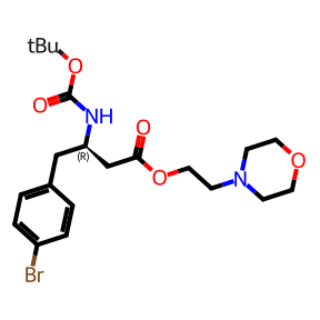 CC(C)(C)OC(=O)N[C@@H](CC(=O)OCCN1CCOCC1)Cc1ccc(Br)cc1